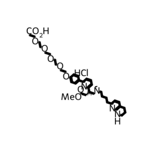 COC(=O)C[C@H](CN(C)CCCCc1ccc2c(n1)NCCC2)c1cccc(-c2ccc(OCCOCCOCCOCCOCCC(=O)O)cc2)n1.Cl